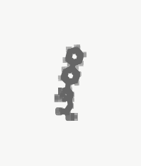 O=C(O)Cc1cc(-c2ccc(-c3ccccc3)cc2)n[nH]1